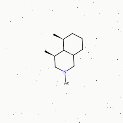 CC(=O)N1CC2CCC[C@H](C)C2[C@H](C)C1